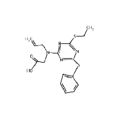 C=CCN(CC(=O)O)c1nc(SCC)nc(Sc2ccccc2)n1